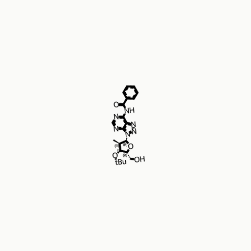 C[C@@H]1[C@H](OC(C)(C)C)[C@@H](CO)O[C@H]1n1nnc2c(NC(=O)c3ccccc3)ncnc21